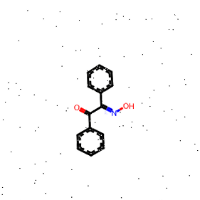 O=C(/C(=N/O)c1ccccc1)c1ccccc1